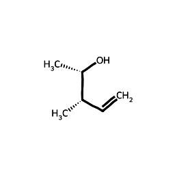 C=C[C@H](C)[C@H](C)O